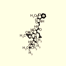 CN(C)C(=O)[C@@H](NC(=O)CNC(=O)C(O)C(CC1CC1)NC(=O)[C@@H]1[C@@H]2C(CN1C(=O)[C@@H](NC(=O)OC(C)(C)C)C(C)(C)C)C2(C)C)c1ccccc1